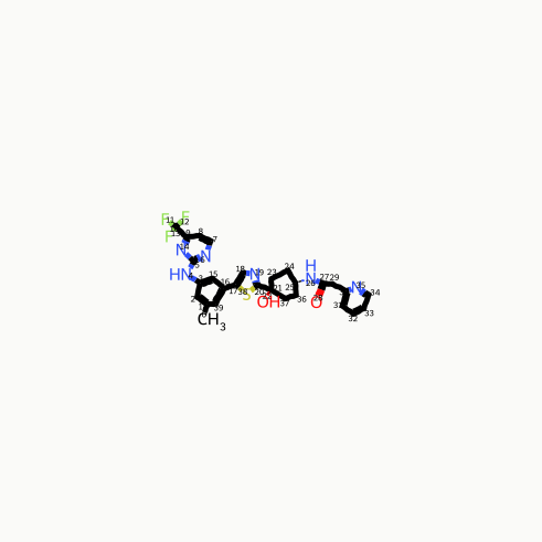 Cc1cc(Nc2nccc(C(F)(F)F)n2)cc(-c2cnc([C@]3(O)CC[C@H](NC(=O)Cc4ccccn4)CC3)s2)c1